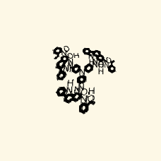 CCc1ccccc1NC(=O)c1cc2ccc3c4ccccc4[nH]c3c2c(N=Nc2ccc(N(c3ccc(N=Nc4c(O)c(N(C=O)c5ccccc5CC)cc5ccc6c7ccccc7[nH]c6c45)cc3)c3ccc(N=Nc4c(O)c(N(C=O)c5ccccc5CC)cc5ccc6c7ccccc7[nH]c6c45)cc3)cc2)c1O